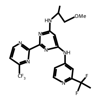 COCC(C)Nc1cc(Nc2ccnc(C(C)(F)F)c2)nc(-c2nccc(C(F)(F)F)n2)n1